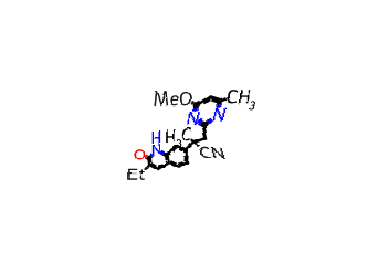 CCc1cc2ccc(C(C)(C#N)Cc3nc(C)cc(OC)n3)cc2[nH]c1=O